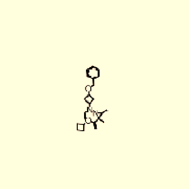 C=CN(C1CC(OCc2ccccc2)C1)N1C(C)C1(C)C(=C)OC1CCC1